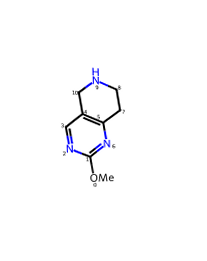 COc1ncc2c(n1)CCNC2